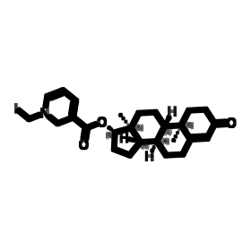 C[C@]12CC[C@H]3[C@@H](CCC4=CC(=O)CC[C@@]43C)[C@@H]1CC[C@@H]2OC(=O)C1=CC=CN(CI)C1